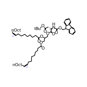 CCCCCCCC/C=C\CCCCCCCC(=O)OCC(COC(=O)[C@H](CC(=O)OC(C)(C)C)NC(=O)OCC1c2ccccc2-c2ccccc21)OC(=O)CCCCCCC/C=C\CCCCCCCC